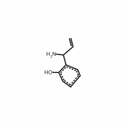 C=CC(N)c1ccccc1O